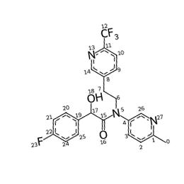 Cc1ccc(N(CCc2ccc(C(F)(F)F)nc2)C(=O)C(O)c2ccc(F)cc2)cn1